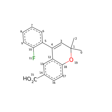 CC1(C)C=C(c2ccccc2F)c2cc(C(=O)O)ccc2O1